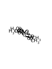 COOCCOCCOOC.COOCCOCCOOC.O